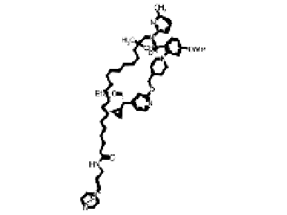 CCOC(=O)C[C@H](c1ccnc(OCC2CCN(c3cc(OC)ccc3C(=O)N(CC(C)(C)CCCCCCCCCCCCCCCCCC(=O)NCCC[N+]34CCN(CC3)CC4)c3cccc(C)n3)CC2)c1)C1CC1